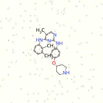 Cc1cnc(Nc2ccc(OC3CCNCC3)cc2)nc1Nc1cccc(C)c1C